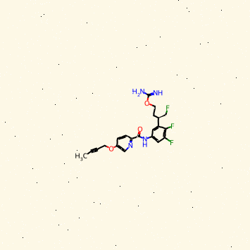 CC#CCOc1ccc(C(=O)Nc2cc(F)c(F)c([C@H](CF)CCOC(=N)N)c2)nc1